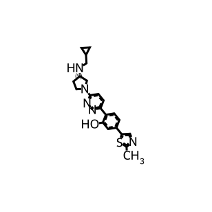 Cc1ncc(-c2ccc(-c3ccc(N4CC[C@H](NCC5CC5)C4)nn3)c(O)c2)s1